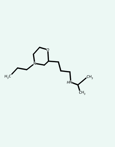 CCCN1CCOC(CCCNC(C)C)C1